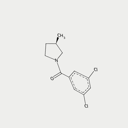 C[C@@H]1CCN(C(=O)c2cc(Cl)cc(Cl)c2)C1